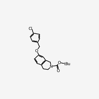 CC(C)(C)OC(=O)N1CCc2ccc(OCc3ccc(Cl)cc3)cc2C1